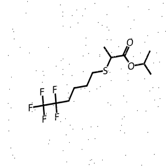 CC(C)OC(=O)C(C)SCCCCC(F)(F)C(F)(F)F